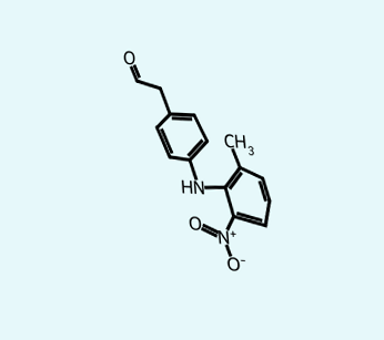 Cc1cccc([N+](=O)[O-])c1Nc1ccc(CC=O)cc1